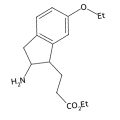 CCOC(=O)CCC1c2cc(OCC)ccc2CC1N